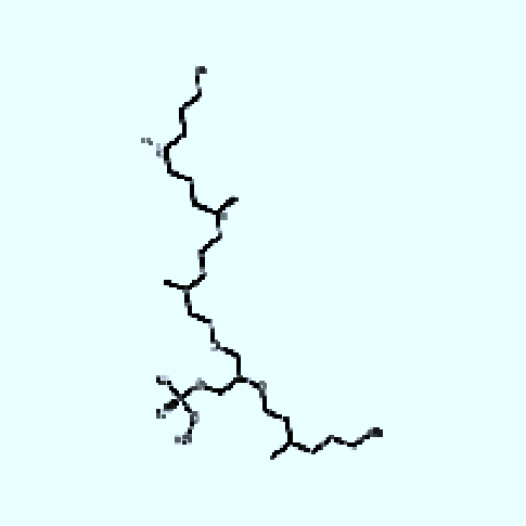 CC(C)CCCC(C)CCOC(COCCC(C)CCC[C@H](C)CCC[C@H](C)CCCC(C)C)COP(=O)(Cl)OO